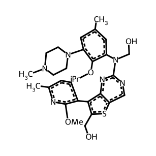 COc1nc(C)ccc1-c1c(CO)sc2cnc(N(CO)c3cc(C)cc(N4CCN(C)CC4)c3OC(C)C)nc12